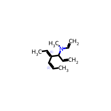 C=CC(C(/C=C\C)=C/C)N(C)C=C